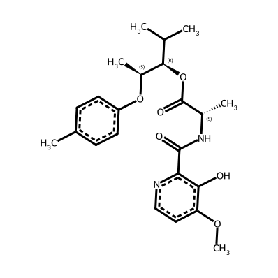 COc1ccnc(C(=O)N[C@@H](C)C(=O)O[C@H](C(C)C)[C@H](C)Oc2ccc(C)cc2)c1O